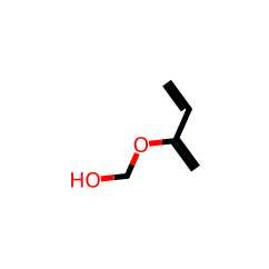 C=CC(=C)OCO